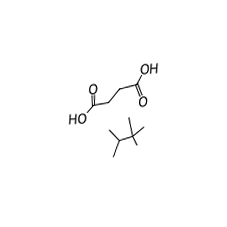 CC(C)C(C)(C)C.O=C(O)CCC(=O)O